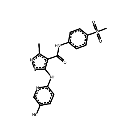 Cc1nsc(Nc2ccc(C#N)cn2)c1C(=O)Nc1ccc(S(C)(=O)=O)cc1